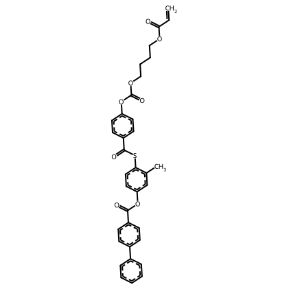 C=CC(=O)OCCCCOC(=O)Oc1ccc(C(=O)Sc2ccc(OC(=O)c3ccc(-c4ccccc4)cc3)cc2C)cc1